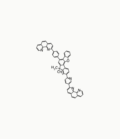 CC1(C)c2cc(-c3ccc(-c4ccc5ccc6cccnc6c5n4)cn3)ccc2-c2c1cc(-c1ccc(-c3ccc4ccc5cccnc5c4n3)cc1)c1c2oc2ccccc21